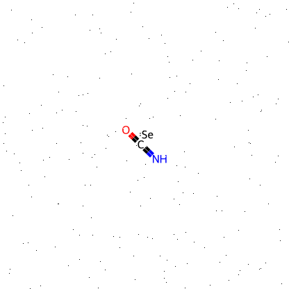 N=C=O.[Se]